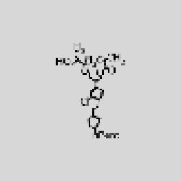 C=C(C)C(=O)OCC(CCOC(=O)C(=C)CO)c1ccc(CCc2ccc(CCCCC)cc2)c(Cl)c1